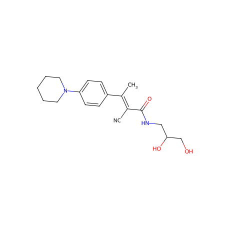 C/C(=C(/C#N)C(=O)NCC(O)CO)c1ccc(N2CCCCC2)cc1